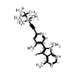 Cc1cc(C#C[Si](C)(C)C(C)(C)C)ncc1-c1c(I)c2c(C)ncnc2n1C